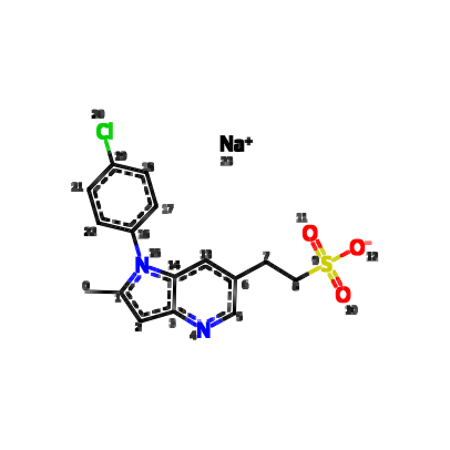 Cc1cc2ncc(CCS(=O)(=O)[O-])cc2n1-c1ccc(Cl)cc1.[Na+]